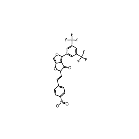 O=C1c2c(coc2-c2cc(C(F)(F)F)cc(C(F)(F)F)c2)OC1/C=C/c1ccc([N+](=O)[O-])cc1